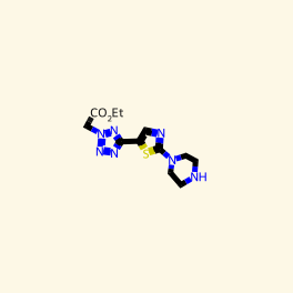 CCOC(=O)Cn1nnc(-c2cnc(N3CCNCC3)s2)n1